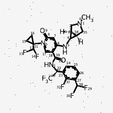 CN1C[C@@H]2C(Nc3cc(=O)n(C4(C(F)F)CC4)cc3C(=O)N[C@@H](c3cccc(C(F)F)c3F)C(F)(F)F)[C@@H]2C1